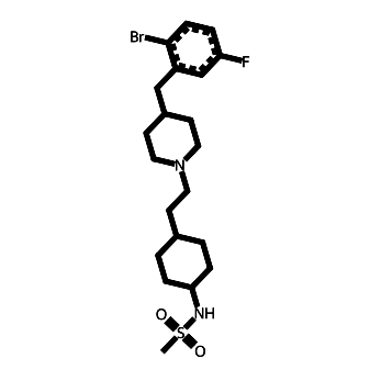 CS(=O)(=O)NC1CCC(CCN2CCC(Cc3cc(F)ccc3Br)CC2)CC1